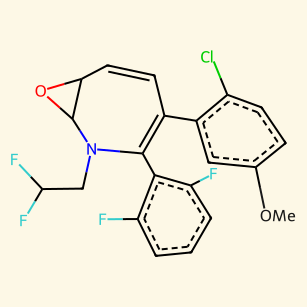 COc1ccc(Cl)c(C2=C(c3c(F)cccc3F)N(CC(F)F)C3OC3C=C2)c1